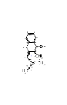 C=c1c(=O)c2ccccc2s/c1=C/C1C(C)[C@H]1C